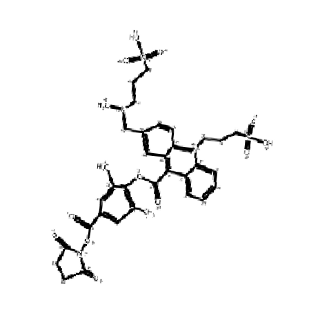 Cc1cc(C(=O)ON2C(=O)CCC2=O)cc(C)c1OC(=O)c1c2ccccc2[n+](CCCS(=O)(=O)O)c2ccc(CN(C)CCCS(=O)(=O)O)cc12